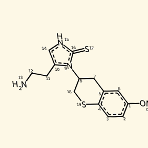 COc1ccc2c(c1)CC(n1c(CCN)c[nH]c1=S)CS2